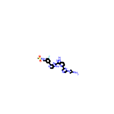 CS(=O)(=O)NCc1cc(F)cc(-c2nccc3[nH]c(-c4n[nH]c5ccc(-c6cncc(N7CC(N)C7)n6)nc45)nc23)c1